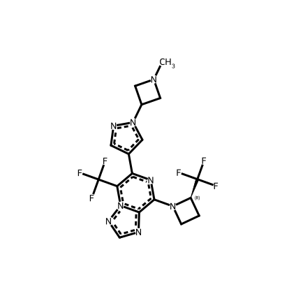 CN1CC(n2cc(-c3nc(N4CC[C@@H]4C(F)(F)F)c4ncnn4c3C(F)(F)F)cn2)C1